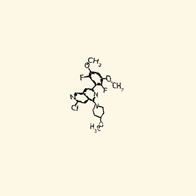 COc1cc(OC)c(F)c(-c2cc3cnc(Cl)cc3c(N3CCC(OC)CC3)n2)c1F